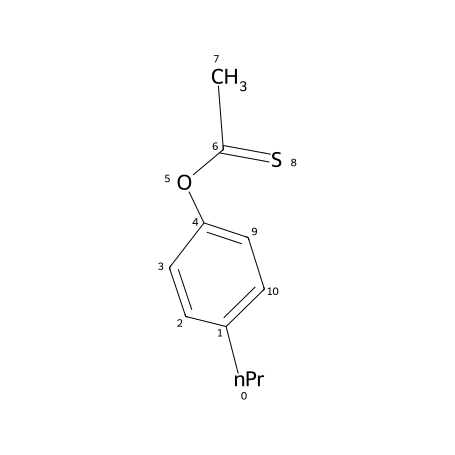 CCCc1ccc(OC(C)=S)cc1